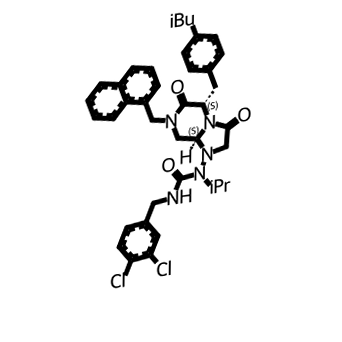 CCC(C)c1ccc(C[C@H]2C(=O)N(Cc3cccc4ccccc34)C[C@H]3N2C(=O)CN3N(C(=O)NCc2ccc(Cl)c(Cl)c2)C(C)C)cc1